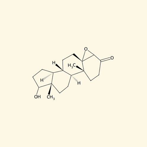 C[C@]12CC[C@H]3[C@@H](CC[C@@]45OC4C(=O)CC[C@]35C)[C@@H]1CCC2O